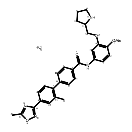 COc1ccc(NC(=O)c2ccc(-c3ccc(-c4noc(C)n4)cc3C)cc2)cc1OCC1CCCN1.Cl